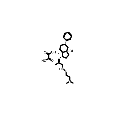 CC(=C[C@H]1CC[C@]2(O)C[C@@H](c3ccccc3)CC[C@]12C)CNOCCN(C)C.O=C(O)C(=O)O